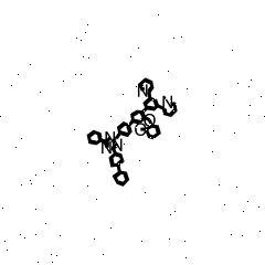 C1=CC2Oc3c(-c4ccc(-c5nc(-c6ccccc6)nc(-c6ccc(-c7ccccc7)cc6)n5)cc4)ccc(-c4cc(-c5ccccn5)cc(-c5ccccn5)c4)c3OC2C=C1